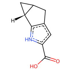 O=C(O)c1cc2c([nH]1)[C@@H]1CC1C2